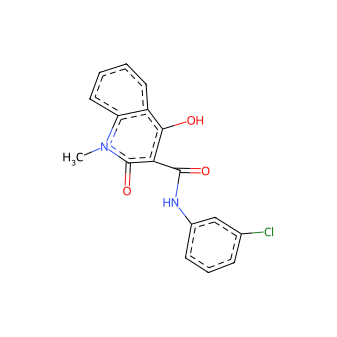 Cn1c(=O)c(C(=O)Nc2cccc(Cl)c2)c(O)c2ccccc21